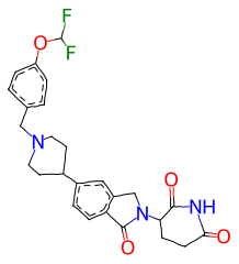 O=C1CCC(N2Cc3cc(C4CCN(Cc5ccc(OC(F)F)cc5)CC4)ccc3C2=O)C(=O)N1